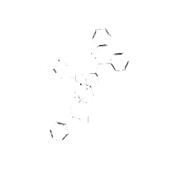 O=C(O[C@H]1C[N+]2(CC(O)c3ccccc3)CCC1CC2)C(Nc1ccccc1)c1ccccc1.O=C([O-])C(F)(F)F